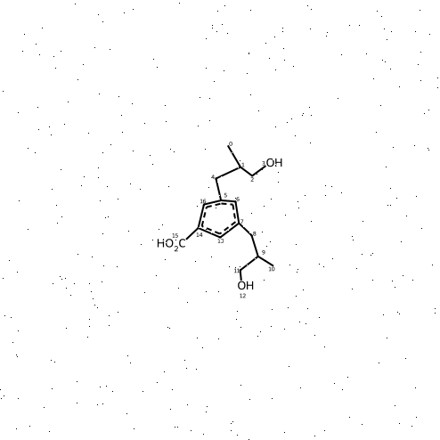 CC(CO)Cc1cc(CC(C)CO)cc(C(=O)O)c1